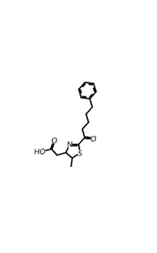 CC1SC(C(=O)CCCCc2ccccc2)=NC1CC(=O)O